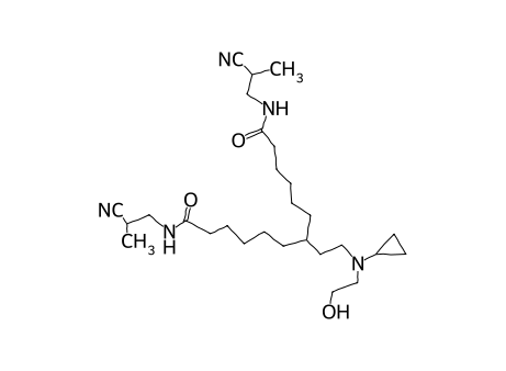 CC(C#N)CNC(=O)CCCCCC(CCCCCC(=O)NCC(C)C#N)CCN(CCO)C1CC1